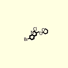 Clc1nc2cc(Br)ccc2cc1COC1CCCCO1